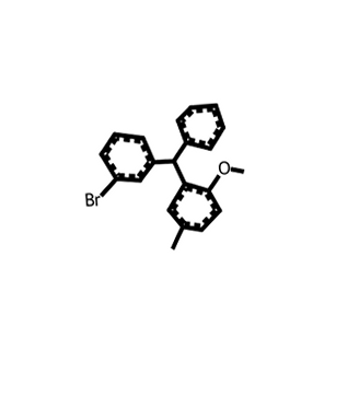 COc1ccc(C)cc1C(c1ccccc1)c1cccc(Br)c1